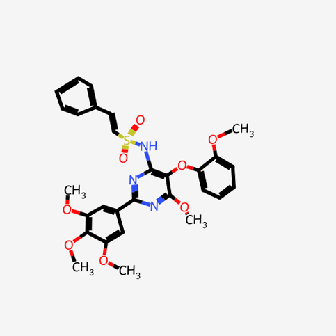 COc1ccccc1Oc1c(NS(=O)(=O)/C=C/c2ccccc2)nc(-c2cc(OC)c(OC)c(OC)c2)nc1OC